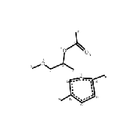 COCC(C)OC(C)=O.Cc1ccc(C)cc1